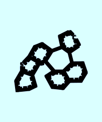 c1ccc2c(c1)-c1ccc3sc4ccccc4c3c1-c1cccc3cccc-2c13